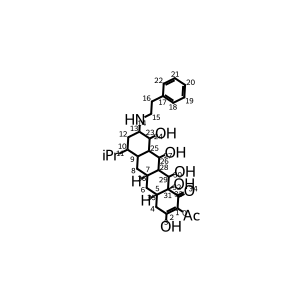 CC(=O)C1=C(O)C[C@@H]2C[C@@H]3CC4C(C(C)C)CC(NCCc5ccccc5)C(O)C4C(O)C3C(O)[C@]2(O)C1=O